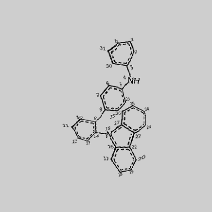 c1ccc(Nc2ccc(-c3ccccc3-n3c4ccccc4c4ccccc43)cc2)cc1